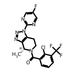 C[C@@H]1c2nnn(-c3ncc(F)cn3)c2CCN1C(=O)c1cccc(C(F)(F)F)c1Cl